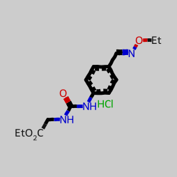 CCO/N=C/c1ccc(NC(=O)NCC(=O)OCC)cc1.Cl